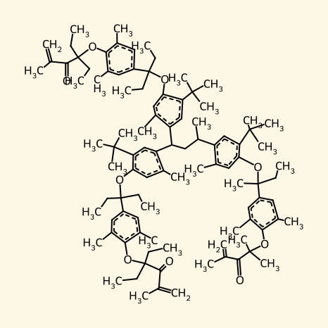 C=C(C)C(=O)C(C)(C)Oc1c(C)cc(C(C)(CC)Oc2cc(C)c(C(C)CC(c3cc(C(C)(C)C)c(OC(CC)(CC)c4cc(C)c(OC(CC)(CC)C(=O)C(=C)C)c(C)c4)cc3C)c3cc(C(C)(C)C)c(OC(CC)(CC)c4cc(C)c(OC(CC)(CC)C(=O)C(=C)C)c(C)c4)cc3C)cc2C(C)(C)C)cc1C